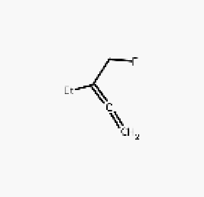 C=C=C(CC)CF